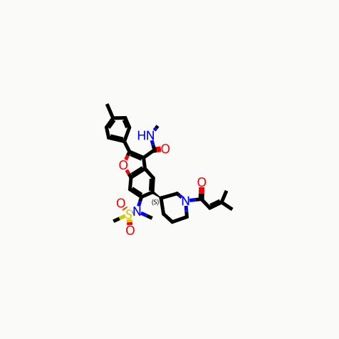 CNC(=O)c1c(-c2ccc(C)cc2)oc2cc(N(C)S(C)(=O)=O)c([C@@H]3CCCN(C(=O)C=C(C)C)C3)cc12